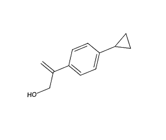 C=C(CO)c1ccc(C2CC2)cc1